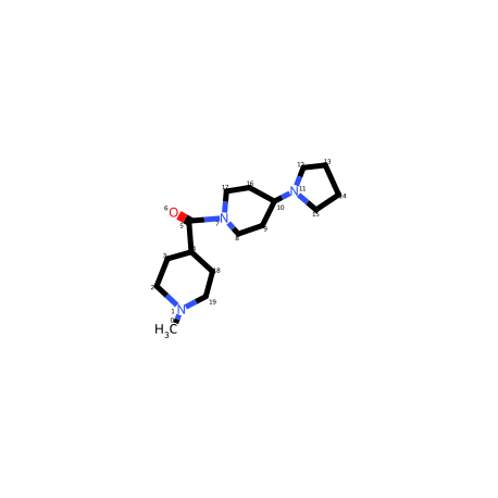 CN1CCC(C(=O)N2CCC(N3CCCC3)CC2)CC1